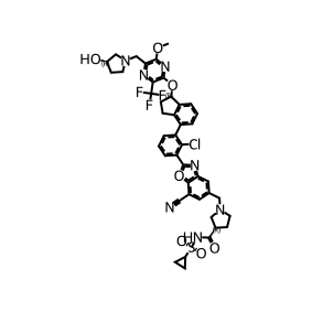 COc1nc(O[C@@H]2CCc3c(-c4cccc(-c5nc6cc(CN7CC[C@@H](C(=O)NS(=O)(=O)C8CC8)C7)cc(C#N)c6o5)c4Cl)cccc32)c(C(F)(F)F)nc1CN1CC[C@@H](O)C1